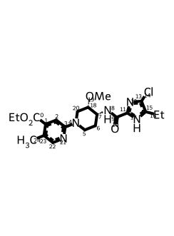 CCOC(=O)c1cc(N2CC[C@@H](NC(=O)c3nc(Cl)c(CC)[nH]3)[C@@H](OC)C2)ncc1C